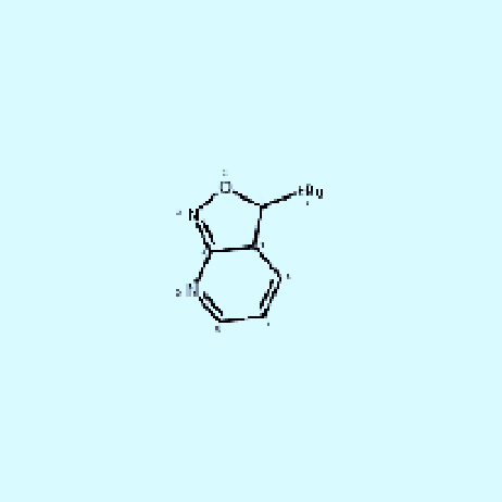 CC(C)(C)C1ON=C2N=CC=CC21